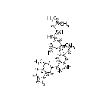 Cc1cc(-c2n[nH]c3cc(C#N)c(-c4c(C)cc(NC(=O)CN(C)C)cc4F)cc23)cc2c1CCN(C)C2